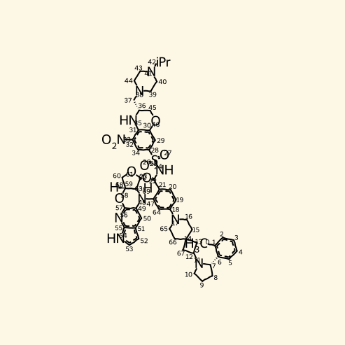 Cc1ccccc1[C@@H]1CCCN1C1CC2(CCN(c3ccc(C(=O)NS(=O)(=O)c4cc5c(c([N+](=O)[O-])c4)N[C@H](CN4CCN(C(C)C)CC4)CO5)c(N4c5cc6cc[nH]c6nc5O[C@@H]5COC[C@H]54)c3)CC2)C1